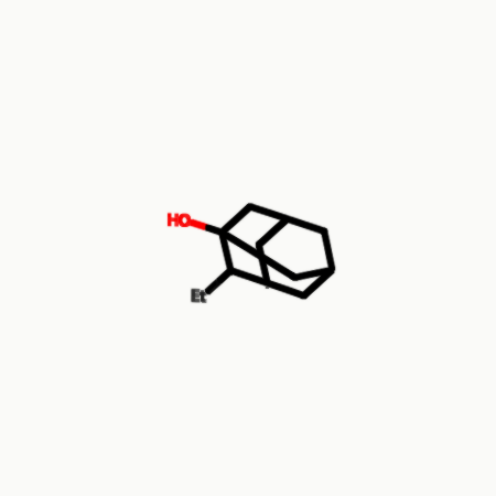 CC[C]1[C]2CC3CC(C2)CC1(O)C3